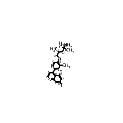 Cc1cc(-c2ccnc3cc(F)cc(F)c23)ncc1OCC(C)CC(C)(C)N